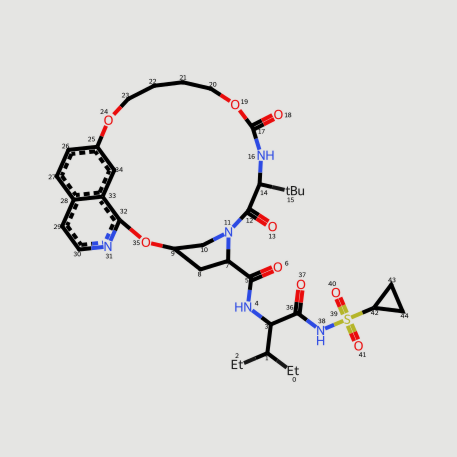 CCC(CC)C(NC(=O)C1CC2CN1C(=O)C(C(C)(C)C)NC(=O)OCCCCOc1ccc3ccnc(c3c1)O2)C(=O)NS(=O)(=O)C1CC1